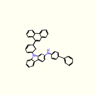 C1=CC(c2cc3ccccc3c3ccccc23)CC(n2c3ccccc3c3ccc(Nc4ccc(-c5ccccc5)cc4)cc32)=C1